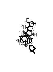 [2H]c1nc(N([2H])C([2H])([2H])[C@@]2([2H])N(S(=O)(=O)c3ccc(C)cc3)C([2H])([2H])[C@]3([2H])C[C@]3([2H])C2([2H])[2H])c([2H])c([2H])c1C(F)(F)F